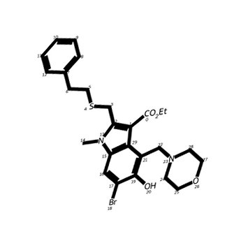 CCOC(=O)c1c(CSCCc2ccccc2)n(C)c2cc(Br)c(O)c(CN3CCOCC3)c12